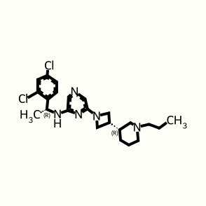 CCCN1CCC[C@H](C2CN(c3cncc(N[C@H](C)c4ccc(Cl)cc4Cl)n3)C2)C1